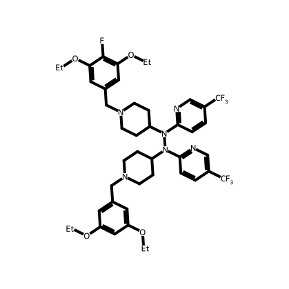 CCOc1cc(CN2CCC(N(c3ccc(C(F)(F)F)cn3)N(c3ccc(C(F)(F)F)cn3)C3CCN(Cc4cc(OCC)c(F)c(OCC)c4)CC3)CC2)cc(OCC)c1